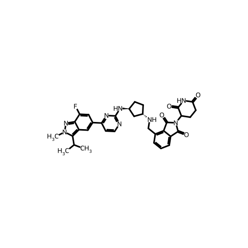 CC(C)c1c2cc(-c3ccnc(N[C@H]4CC[C@H](NCc5cccc6c5C(=O)N(C5CCC(=O)NC5=O)C6=O)C4)n3)cc(F)c2nn1C